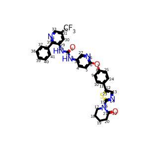 O=C(Nc1ccc(Oc2ccc(-c3cnc(N4CCCCC4=O)s3)cc2)nc1)Nc1cc(C(F)(F)F)cnc1-c1ccccc1